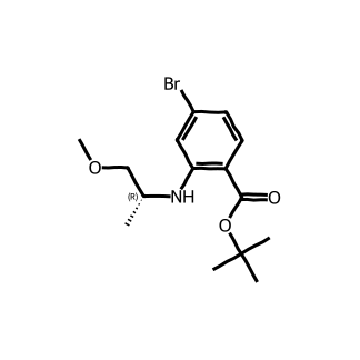 COC[C@@H](C)Nc1cc(Br)ccc1C(=O)OC(C)(C)C